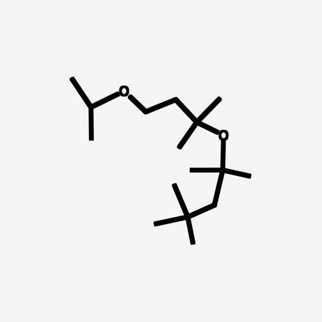 CC(C)OCCC(C)(C)OC(C)(C)CC(C)(C)C